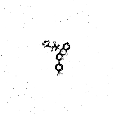 CCCc1ccc(-c2ccc3c(n2)Oc2ccccc2[C@@H]3C(C)(C)C(=O)Nc2nncs2)cc1